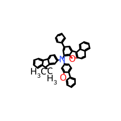 CC1(C)c2ccccc2-c2ccc(N(c3ccc4c(c3)oc3ccccc34)c3cc(-c4ccccc4)cc4c3oc3ccc5ccccc5c34)cc21